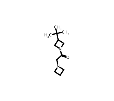 CC(C)(C)C1CN(C(=O)CN2CCC2)C1